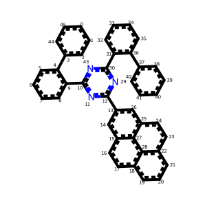 c1ccc(-c2ccccc2-c2nc(-c3cc4ccc5cccc6ccc(c3)c4c56)nc(-c3ccccc3-c3ccccc3)n2)cc1